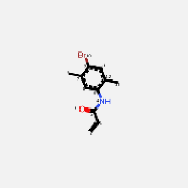 C=CC(=O)Nc1cc(C)c(Br)cc1C